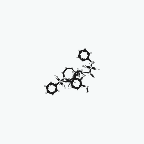 COc1ccc2c3c1O[C@H]1[C@H](N(C)S(=O)(=O)Nc4ccccc4)CC[C@@]4(O)[C@@H](C2)N(S(=O)(=O)c2ccccc2)CCC[C@]314